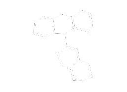 c1ccc2c(c1)Cc1ccccc1N2c1ccc2ccccc2c1